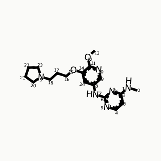 CNc1ccnc(Nc2cnc(OC)c(OCCCN3CCCC3)c2)n1